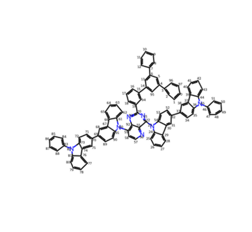 c1ccc(-c2cc(-c3ccccc3)cc(-c3cccc(-c4nc(-n5c6ccccc6c6cc(-c7ccc8c(c7)c7ccccc7n8-c7ccccc7)ccc65)c5nccc(-n6c7ccccc7c7cc(-c8ccc9c(c8)c8ccccc8n9-c8ccccc8)ccc76)c5n4)c3)c2)cc1